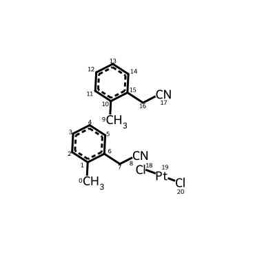 Cc1ccccc1CC#N.Cc1ccccc1CC#N.[Cl][Pt][Cl]